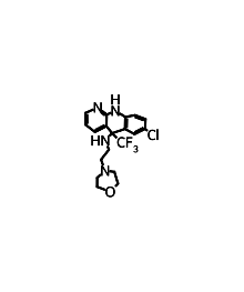 FC(F)(F)C1(NCCN2CCOCC2)c2cc(Cl)ccc2Nc2ncccc21